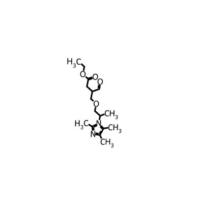 CCOC(=O)CC(C=O)COCC(C)n1c(C)nc(C)c1C